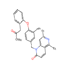 CCCc1cc(Cn2c(=O)ccc3c(CC)nc(CC)cc32)ccc1Oc1ccccc1CC(=O)OC